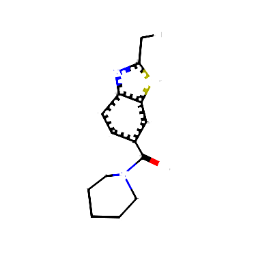 CCc1nc2ccc(C(=O)N3CCCCC3)cc2s1